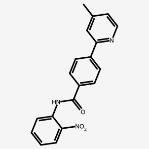 Cc1ccnc(-c2ccc(C(=O)Nc3ccccc3[N+](=O)[O-])cc2)c1